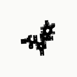 CCN(C)C(=O)Nc1c[nH]nc1-c1nc2cc(F)c(C)cc2[nH]1